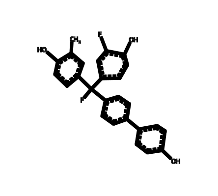 Cc1cc(C(F)(c2ccc(-c3ccc(O)cc3)cc2)c2ccc(O)c(F)c2)ccc1O